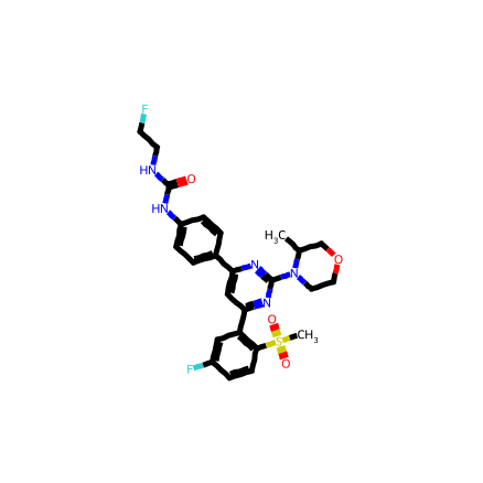 CC1COCCN1c1nc(-c2ccc(NC(=O)NCCF)cc2)cc(-c2cc(F)ccc2S(C)(=O)=O)n1